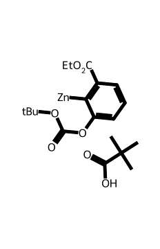 CC(C)(C)C(=O)O.CCOC(=O)c1cccc(OC(=O)OC(C)(C)C)[c]1[Zn]